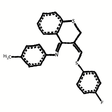 Cc1ccc(N=C2C(=CSc3ccc(F)cc3)CSc3ccccc32)cc1